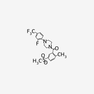 Cc1ccc(S(C)(=O)=O)cc1C(=O)N1CCN(c2ccc(C(F)(F)F)cc2F)CC1